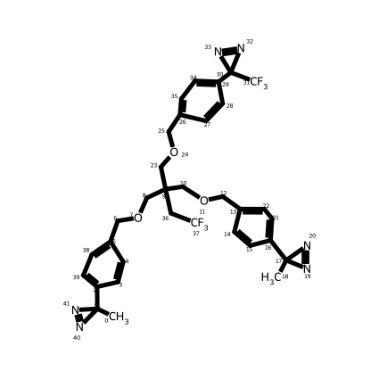 CC1(c2ccc(COCC(COCc3ccc(C4(C)N=N4)cc3)(COCc3ccc(C4(C(F)(F)F)N=N4)cc3)CC(F)(F)F)cc2)N=N1